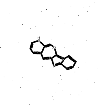 C1=CNC2=COC3=c4ccccc4=NC3=CC2=C1